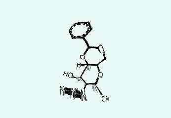 [N-]=[N+]=NC1[C@H](O)OC2COC(c3ccccc3)O[C@H]2[C@@H]1O